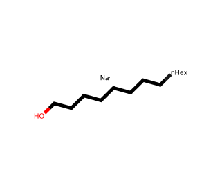 CCCCCCCCCCCCCCO.[Na]